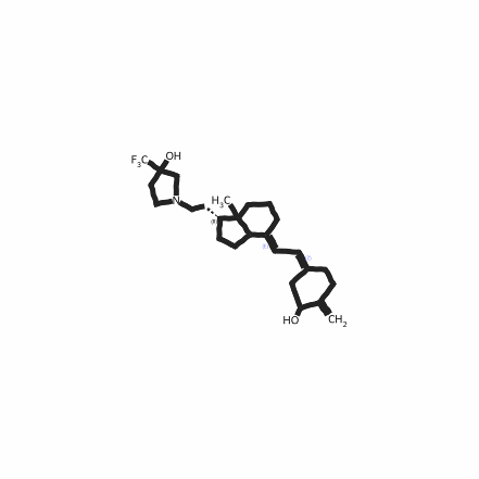 C=C1CC/C(=C/C=C2\CCCC3(C)C2CC[C@@H]3CCN2CCC(O)(C(F)(F)F)C2)CC1O